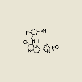 Cc1nc2ccc(-c3cnc(P(C)(C)=O)nc3)nc2c(NCc2cc(C#N)ccc2F)c1Cl